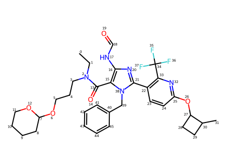 CCN(CCCOC1CCCCO1)C(=O)c1c(NC=O)nc(-c2ccc(OC3CCC3C)nc2C(F)(F)F)n1Cc1ccccc1